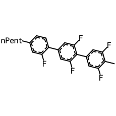 CCCCCc1ccc(-c2cc(F)c(-c3cc(F)c(C)c(F)c3)c(F)c2)c(F)c1